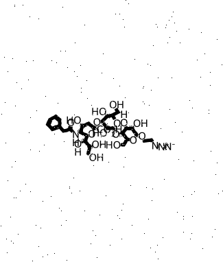 [N-]=[N+]=NCCO[C@@H]1OC(CO)[C@@H](O[C@@H]2OC(CO)[C@H](O)C(O[C@]3(C(=O)O)C[C@@H](O)[C@@H](NC(=O)Cc4ccccc4)C([C@H](O)[C@H](O)CO)O3)[C@@H]2O)C(O)[C@@H]1O